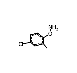 Cc1cc(Cl)ccc1ON